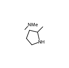 CC1CCCN1.CNC